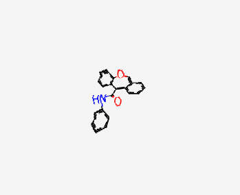 O=C(Nc1ccccc1)C1=c2ccccc2=COc2ccccc21